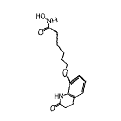 O=C(CCCCCOc1cccc2c1NC(=O)CC2)NO